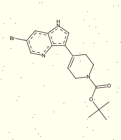 CC(C)(C)OC(=O)N1CC=C(c2c[nH]c3cc(Br)cnc23)CC1